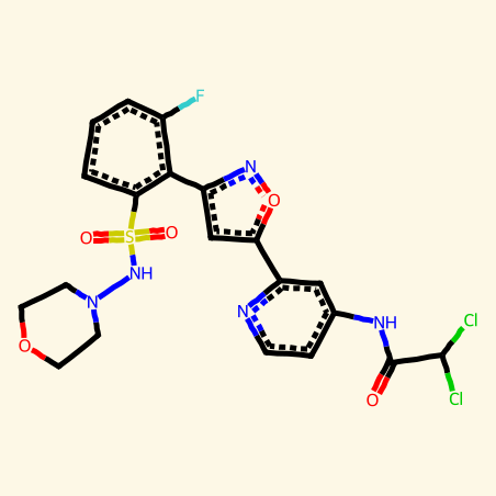 O=C(Nc1ccnc(-c2cc(-c3c(F)cccc3S(=O)(=O)NN3CCOCC3)no2)c1)C(Cl)Cl